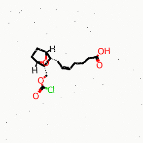 O=C(O)CCC/C=C\C[C@@H]1[C@H](COC(=O)Cl)[C@@H]2CC[C@H]1O2